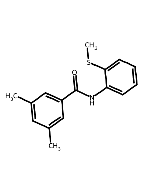 CSc1ccccc1NC(=O)c1cc(C)cc(C)c1